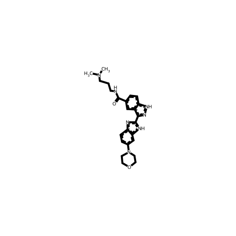 CN(C)CCCNC(=O)c1ccc2[nH]nc(-c3nc4ccc(N5CCOCC5)cc4[nH]3)c2c1